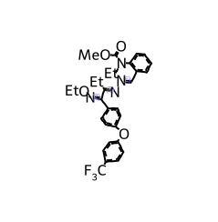 CCO\N=C(/C(CC)=N/N=C/c1ccccc1N(CC)C(=O)OC)c1ccc(Oc2ccc(C(F)(F)F)cc2)cc1